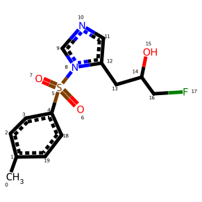 Cc1ccc(S(=O)(=O)n2cncc2CC(O)CF)cc1